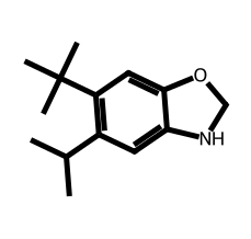 CC(C)c1cc2c(cc1C(C)(C)C)OCN2